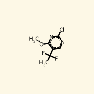 COc1nc(Cl)ncc1C(C)(F)F